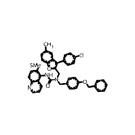 CSc1ccc2ncccc2c1NC(=O)N(Cc1ccc(OCc2ccccc2)cc1)Cc1oc2ccc(C)cc2c1-c1ccc(Cl)cc1